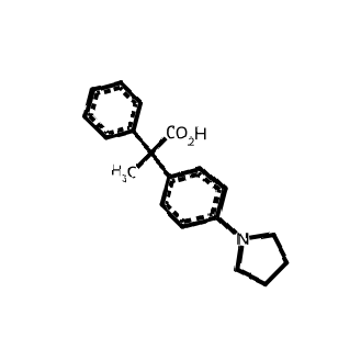 CC(C(=O)O)(c1ccccc1)c1ccc(N2CCCC2)cc1